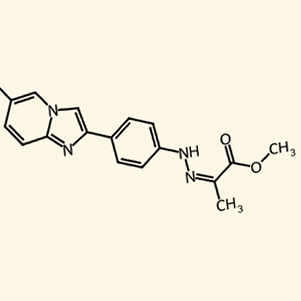 COC(=O)/C(C)=N\Nc1ccc(-c2cn3cc(I)ccc3n2)cc1